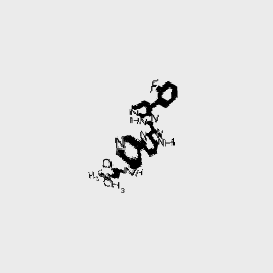 CN(C)CC(=O)Nc1cncc(-c2ccc3[nH]nc(-c4nc5c(-c6ccccc6F)ccnc5[nH]4)c3n2)c1